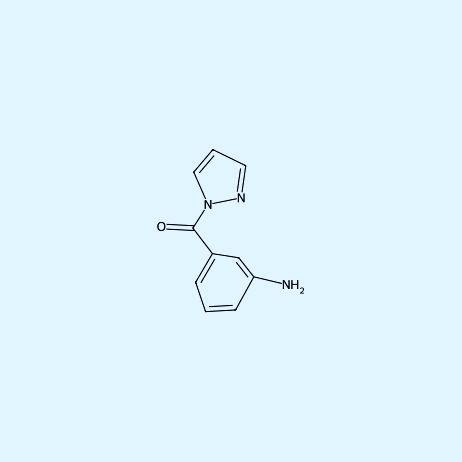 Nc1cccc(C(=O)n2cccn2)c1